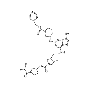 C=C(F)C(=O)N1CCC(OC(=O)N2CC3CC(Nc4cc(O[C@@H]5CCCN(C(=O)OCc6ccccc6)C5)nc5c(C(C)C)cnn45)CC3C2)C1